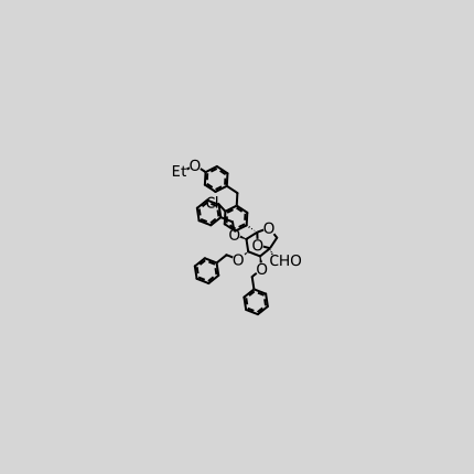 CCOc1ccc(Cc2cc([C@]34OC[C@](C=O)(O3)[C@@H](OCc3ccccc3)[C@H](OCc3ccccc3)[C@H]4OCc3ccccc3)ccc2Cl)cc1